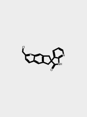 O=C1Nc2ncccc2C12Cc1cc3ccc(CCl)nc3cc1C2